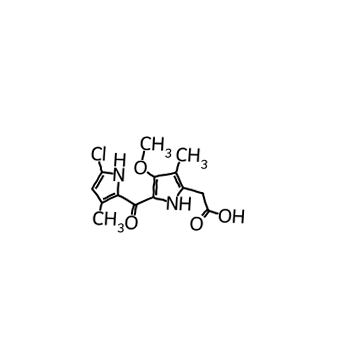 COc1c(C(=O)c2[nH]c(Cl)cc2C)[nH]c(CC(=O)O)c1C